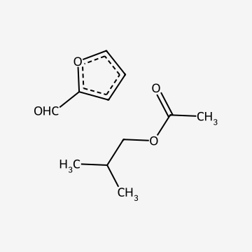 CC(=O)OCC(C)C.O=Cc1ccco1